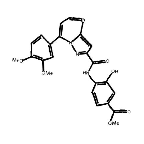 COC(=O)c1ccc(NC(=O)c2cc3nccc(-c4ccc(OC)c(OC)c4)n3n2)c(O)c1